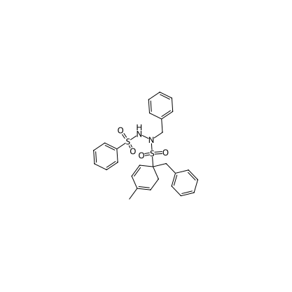 CC1=CCC(Cc2ccccc2)(S(=O)(=O)N(Cc2ccccc2)NS(=O)(=O)c2ccccc2)C=C1